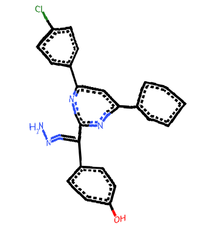 NN=C(c1ccc(O)cc1)c1nc(-c2ccccc2)cc(-c2ccc(Cl)cc2)n1